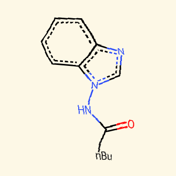 CCCCC(=O)Nn1cnc2ccccc21